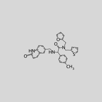 Cc1ccc(C(NCc2ccc3[nH]c(=O)ccc3c2)C(=O)N(Cc2ccco2)Cc2cccs2)cc1